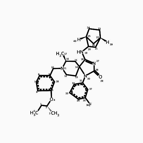 CC[C@@H](C)Oc1cccc(CN2CCC3(C[C@@H]2C)C(NC2C[C@H]4CC[C@@H]2C4)=NC(=O)N3c2cccc(F)c2)c1